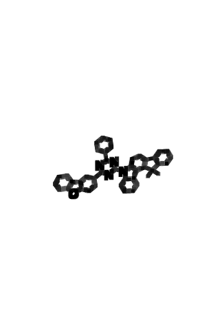 CC1(C)c2ccccc2-c2ccc3c(c21)c1ccccc1n3-c1nc(-c2ccccc2)nc(-c2ccc3oc4ccccc4c3c2)n1